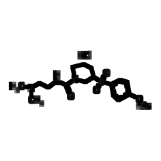 CCCCOc1ccc(S(=O)(=O)C2CCCN(C(=O)NCCN(C)C)C2)cc1.Cl